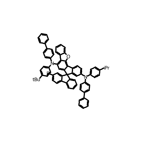 CC(C)c1ccc(N(c2ccc(-c3ccccc3)cc2)c2ccc3c(c2)C2(c4ccccc4-c4ccc(F)cc42)c2cc(N(c4ccc(-c5ccccc5)cc4)c4ccc(C(C)(C)C)cc4)c4c(oc5ccccc54)c2-3)cc1